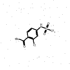 CC(C)(C)C(=O)c1ccc(NS(=O)(=O)C(F)(F)F)cc1Cl